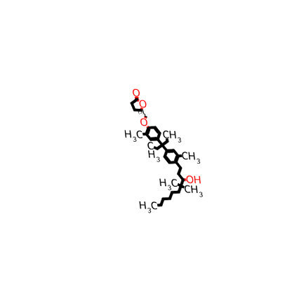 CCCCCCC(C)(C)C(O)CCc1ccc(C(CC)(CC)c2ccc(OC[C@@H]3CCC(=O)O3)c(C)c2)cc1C